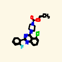 CCOC(=O)N1CCN(c2nc(-c3ccccc3F)nc3cccc(Cl)c23)CC1